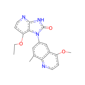 CCOc1ccnc2[nH]c(=O)n(-c3cc(C)c4nccc(OC)c4c3)c12